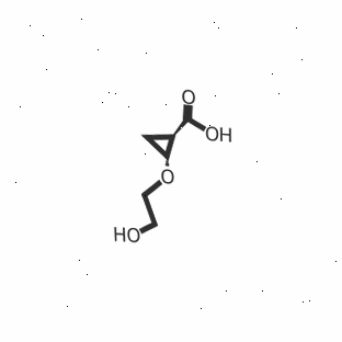 O=C(O)[C@@H]1C[C@H]1OCCO